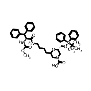 COC(=O)N[C@H](C(=O)NCCCCC1CN(C(=O)O)C[C@@H](CO[Si](c2ccccc2)(c2ccccc2)C(C)(C)C)O1)C(c1ccccc1)c1ccccc1